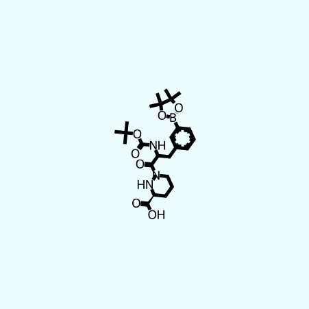 CC(C)(C)OC(=O)NC(Cc1cccc(B2OC(C)(C)C(C)(C)O2)c1)C(=O)N1CCC[C@@H](C(=O)O)N1